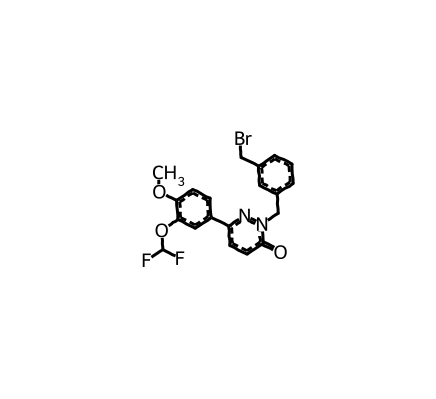 COc1ccc(-c2ccc(=O)n(Cc3cccc(CBr)c3)n2)cc1OC(F)F